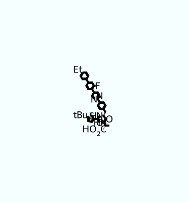 CCc1ccc(-c2ccc(-c3cnc(-c4ccc(C[C@H](NC(=O)c5ccc(C(C)(C)C)s5)C(=O)N[C@H](C)C(=O)O)cc4)nc3)c(F)c2)cc1